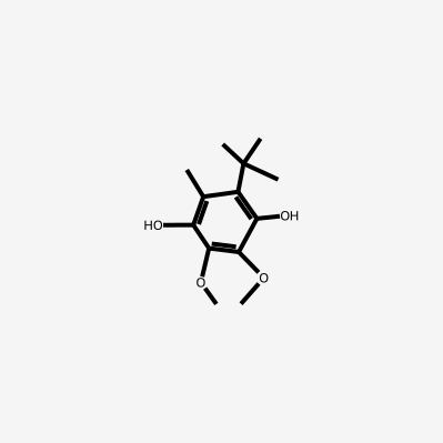 COc1c(O)c(C)c(C(C)(C)C)c(O)c1OC